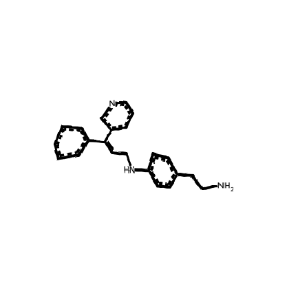 NCCc1ccc(NCC=C(c2ccccc2)c2cccnc2)cc1